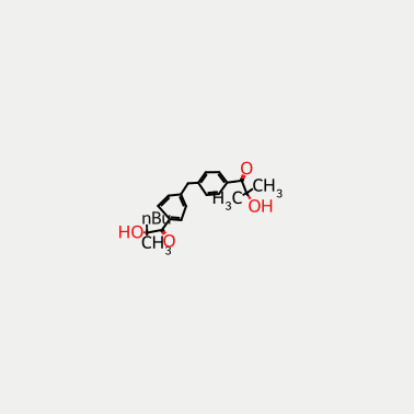 CCCCC(C)(O)C(=O)c1ccc(Cc2ccc(C(=O)C(C)(C)O)cc2)cc1